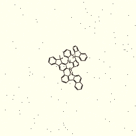 CC1(C)c2ccccc2-c2cc3c4c(c21)N1c2ccccc2[Si]2(c5ccccc5-c5ccccc52)c2cccc(c21)B4n1c2ccc4ccccc4c2c2cccc-3c21